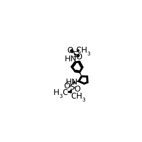 CC(C)S(=O)(=O)N[C@@H]1CCC[C@@H]1c1ccc(NS(C)(=O)=O)cc1